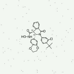 CC(C)(C)c1ccc(N2C(=O)c3ccccc3[C@H](C(=O)NO)[C@H]2c2ccc3c(c2)OCCO3)cc1Cl